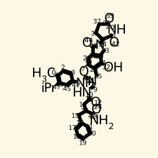 Cc1ccc(NC(=O)N(CNC(=O)CC(Cc2ccccc2)C(N)=O)Cc2ccc3c(c2O)CN(C2CCC(=O)NC2=O)C3=O)cc1C(C)C